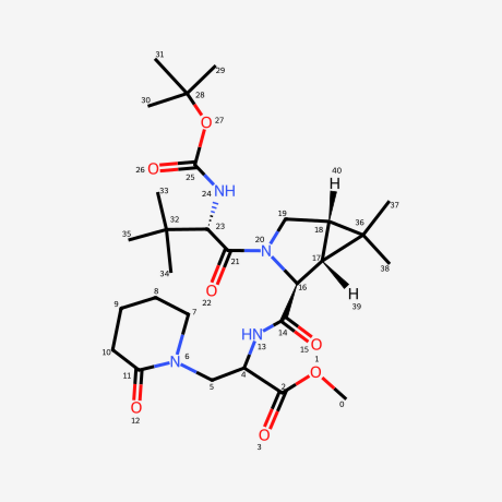 COC(=O)C(CN1CCCCC1=O)NC(=O)[C@@H]1[C@@H]2[C@H](CN1C(=O)[C@@H](NC(=O)OC(C)(C)C)C(C)(C)C)C2(C)C